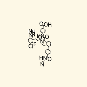 CN(C)CCNC(=O)c1ccc(-c2cccc3c2CCN(C(=O)C=Cc2c(-n4cnnn4)ccc(Cl)c2F)[C@H]3C(=O)Nc2ccc(C(=O)O)cc2)cc1